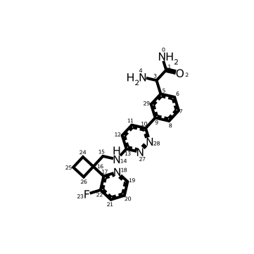 NC(=O)C(N)c1cccc(-c2ccc(NCC3(c4ncccc4F)CCC3)nn2)c1